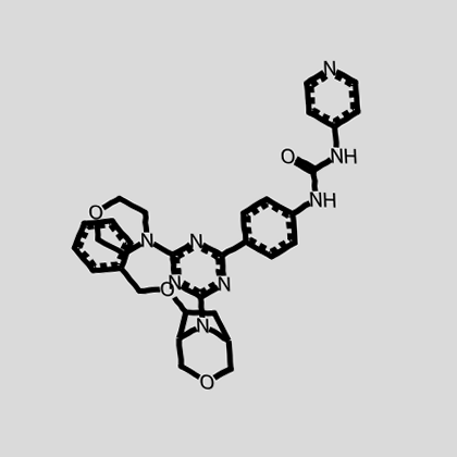 O=C(Nc1ccncc1)Nc1ccc(-c2nc(N3CCOCC3)nc(N3C4COCC3C(OCc3ccccc3)C4)n2)cc1